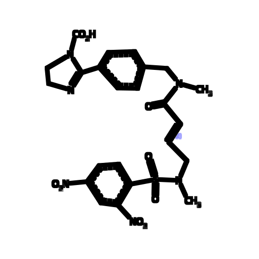 CN(Cc1ccc(C2=NCCN2C(=O)O)cc1)C(=O)/C=C/CN(C)S(=O)(=O)c1ccc([N+](=O)[O-])cc1[N+](=O)[O-]